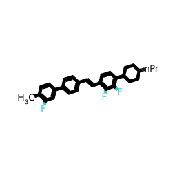 CCCC1CCC(c2ccc(/C=C/c3ccc(-c4ccc(C)c(F)c4)cc3)c(F)c2F)CC1